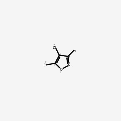 CCc1onc(C)c1Cl